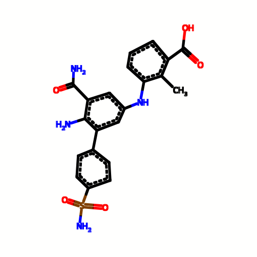 Cc1c(Nc2cc(C(N)=O)c(N)c(-c3ccc(S(N)(=O)=O)cc3)c2)cccc1C(=O)O